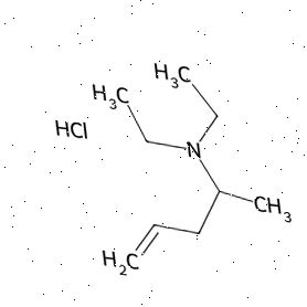 C=CCC(C)N(CC)CC.Cl